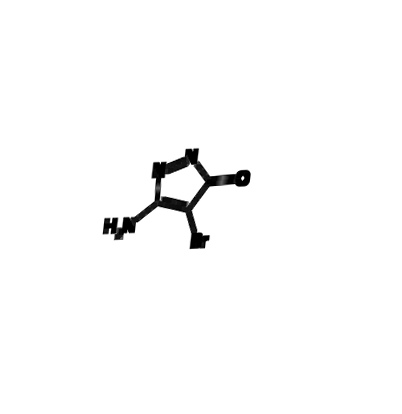 NC1=C(Br)C(=O)N=N1